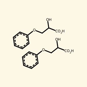 O=C(O)C(O)COc1ccccc1.O=C(O)C(O)COc1ccccc1